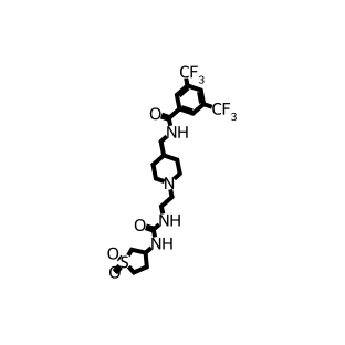 O=C(NCCN1CCC(CNC(=O)c2cc(C(F)(F)F)cc(C(F)(F)F)c2)CC1)NC1CCS(=O)(=O)C1